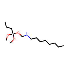 CCCCCCCCNCO[Si](CCC)(OC)OC